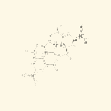 CC(C)c1cc([N+](=O)[O-])cc(C(C)C)c1N1CCN(c2c(C(C)C)cc([N+](=O)[O-])cc2C(C)C)C1